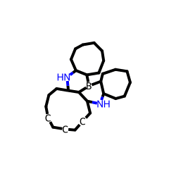 C1CCCCC2NC3CCCCCCCC3B3C4CCCCCCC4NC(CCCC1)C32